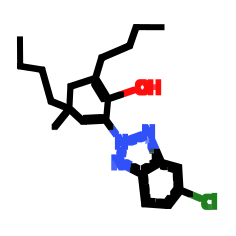 CCCCC1=C(O)C(n2nc3ccc(Cl)cc3n2)=CC(C)(CCCC)C1